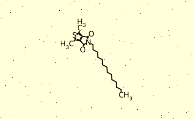 CCCCCCCCCCCCCCN1C(=O)c2c(C)sc(C)c2C1=O